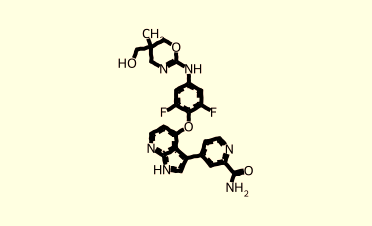 CC1(CO)CN=C(Nc2cc(F)c(Oc3ccnc4[nH]cc(-c5ccnc(C(N)=O)c5)c34)c(F)c2)OC1